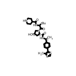 Cc1ncsc1-c1ccc([C@H](C)NC(=O)[C@@H]2C[C@@H](O)CN2C(=O)C(NC(=O)C2CCNCC2)C(C)(C)C)cc1